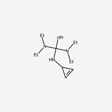 CCCC(NC1C=C1)(N(CC)CC)N(CC)CC